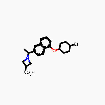 CCC1CCC(Oc2cccc3cc(C(C)N4CC(C(=O)O)C4)ccc23)CC1